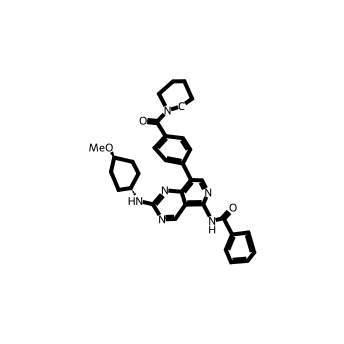 CO[C@H]1CC[C@H](Nc2ncc3c(NC(=O)c4ccccc4)ncc(-c4ccc(C(=O)N5CCCCC5)cc4)c3n2)CC1